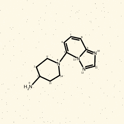 NC1CCN(c2cccc3n[c]nn23)CC1